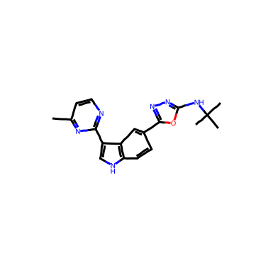 Cc1ccnc(-c2c[nH]c3ccc(-c4nnc(NC(C)(C)C)o4)cc23)n1